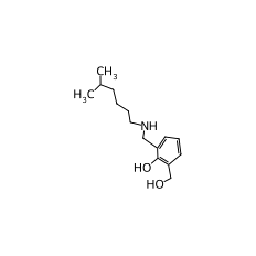 CC(C)CCCCNCc1cccc(CO)c1O